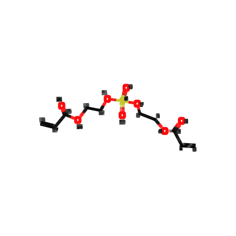 C=CC(=O)OCCOS(=O)(=O)OCCOC(=O)C=C